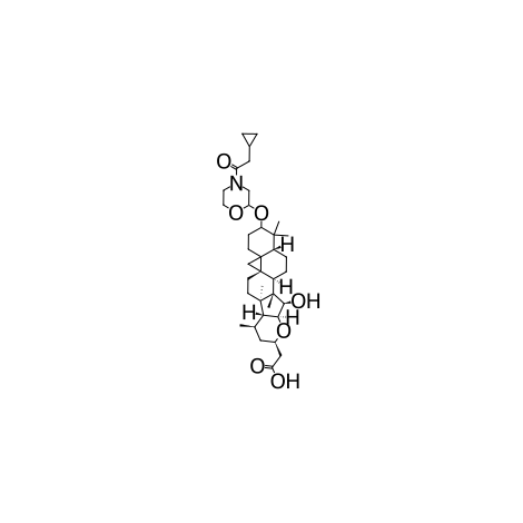 C[C@@H]1C[C@H](CC(=O)O)O[C@H]2[C@H]1[C@@]1(C)CC[C@@]34CC35CCC(OC3CN(C(=O)CC6CC6)CCO3)C(C)(C)[C@@H]5CC[C@H]4[C@]1(C)[C@H]2O